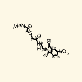 CNC(=O)CSCC(=O)NCCN1C(=O)c2ccc([N+](=O)[O-])cc2C1=O